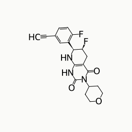 C#Cc1ccc(F)c([C@@H]2Nc3[nH]c(=O)n(C4CCOCC4)c(=O)c3C[C@@H]2F)c1